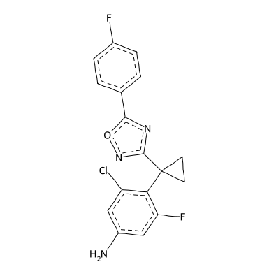 Nc1cc(F)c(C2(c3noc(-c4ccc(F)cc4)n3)CC2)c(Cl)c1